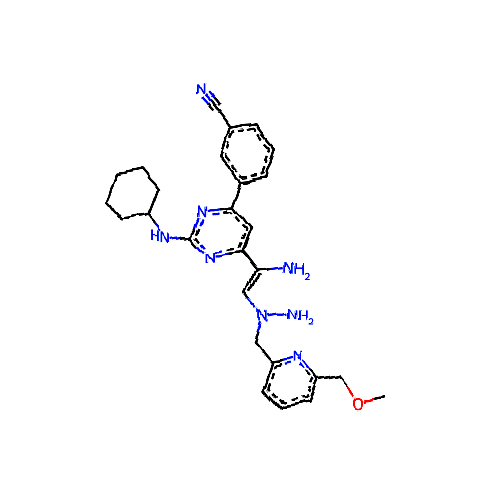 COCc1cccc(CN(N)/C=C(\N)c2cc(-c3cccc(C#N)c3)nc(NC3CCCCC3)n2)n1